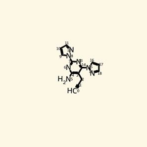 C#CCc1c(N)nc(-n2cccn2)nc1-n1cccn1